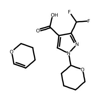 C1=COCCC1.O=C(O)c1cn(C2CCCCO2)nc1C(F)F